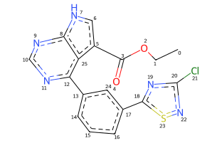 CCOC(=O)c1c[nH]c2ncnc(-c3cccc(-c4nc(Cl)ns4)c3)c12